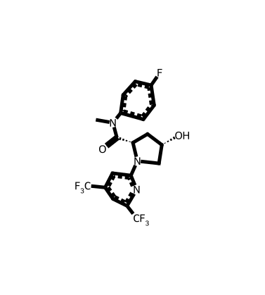 CN(C(=O)[C@@H]1C[C@H](O)CN1c1cc(C(F)(F)F)cc(C(F)(F)F)n1)c1ccc(F)cc1